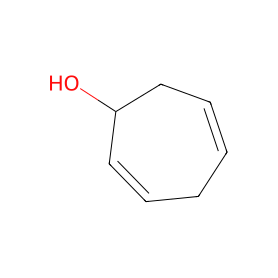 OC1C=CCC=CC1